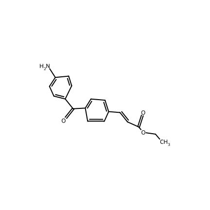 CCOC(=O)C=Cc1ccc(C(=O)c2ccc(N)cc2)cc1